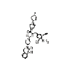 C#Cc1cc(C[C@@H](OC(=O)N2CCC(N3CCc4ccccc4NC3=O)CC2)C(=O)N2CCN(C3CCN(C)CC3)CC2)cc(Cl)c1N